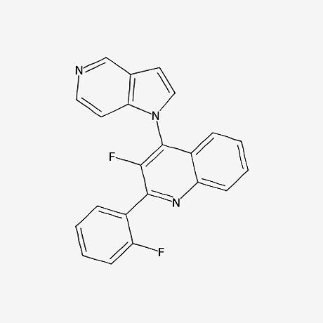 Fc1ccccc1-c1nc2ccccc2c(-n2ccc3cnccc32)c1F